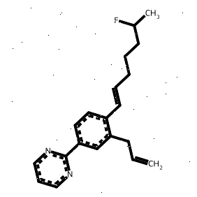 C=CCc1cc(-c2ncccn2)ccc1C=CCCCC(C)F